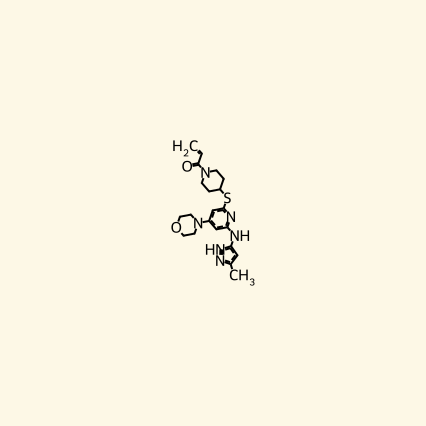 C=CC(=O)N1CCC(Sc2cc(N3CCOCC3)cc(Nc3cc(C)n[nH]3)n2)CC1